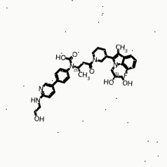 Cc1c(C2CCCN(C(=O)C[C@@H](C)N(C(=O)O)c3ccc(-c4ccc(NCCO)nc4)cc3)C2)n(C[C@H](O)CO)c2c(F)cccc12